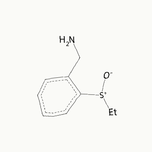 CC[S+]([O-])c1ccccc1CN